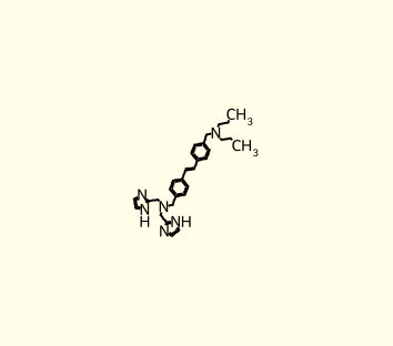 CCCN(CCC)Cc1ccc(C=Cc2ccc(CN(Cc3ncc[nH]3)Cc3ncc[nH]3)cc2)cc1